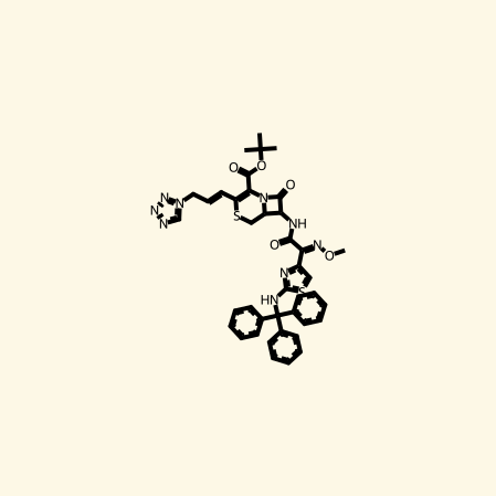 CON=C(C(=O)NC1C(=O)N2C(C(=O)OC(C)(C)C)=C(C=CCn3cnnn3)SCC12)c1csc(NC(c2ccccc2)(c2ccccc2)c2ccccc2)n1